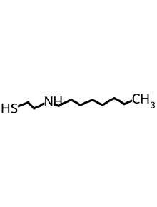 CCCCCCCCNCCS